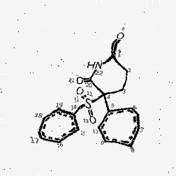 O=C1CCC(c2ccccc2)(S(=O)(=O)c2ccccc2)C(=O)N1